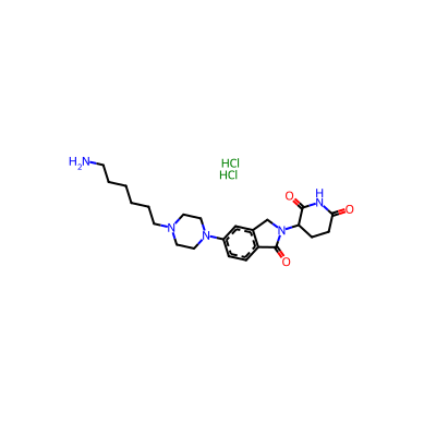 Cl.Cl.NCCCCCCN1CCN(c2ccc3c(c2)CN(C2CCC(=O)NC2=O)C3=O)CC1